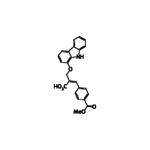 COC(=O)c1ccc(C=C(COc2cccc3c2[nH]c2ccccc23)C(=O)O)cc1